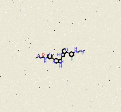 CN(C)CCNc1cc(F)cc(-c2nccc3[nH]c(-c4n[nH]c5cnc(-c6cncc(NC(=O)CN(C)C)c6)cc45)cc23)c1